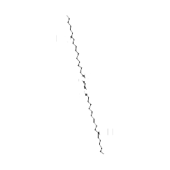 CCCCCCC(O)CCCCCCCCCCC(=O)OCCOC(=O)CCCCCCCCCCC(O)CCCCCC